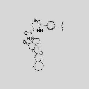 CC(C)C[C@H](NC(=O)c1ccc(N(C)C)cc1)C(=O)N1CC[C@@H]2[C@H]1C(=O)CN2C(=O)CC1CCCCN1